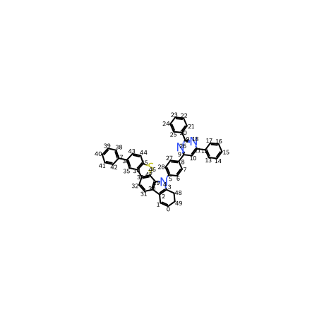 C1=Cc2c(n(-c3ccc(-c4cc(-c5ccccc5)nc(-c5ccccc5)n4)cc3)c3c2ccc2c4cc(-c5ccccc5)ccc4sc23)CC1